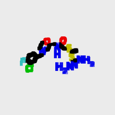 C=C(SCC(=O)NC[C@H]1CN(Cc2ccc(F)c(Cl)c2)CCO1)S/C(N)=N\N